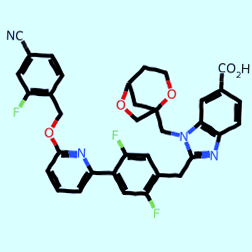 N#Cc1ccc(COc2cccc(-c3cc(F)c(Cc4nc5ccc(C(=O)O)cc5n4CC45COC(CCO4)C5)cc3F)n2)c(F)c1